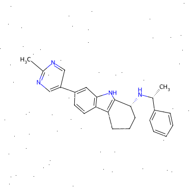 Cc1ncc(-c2ccc3c4c([nH]c3c2)[C@H](N[C@H](C)c2ccccc2)CCC4)cn1